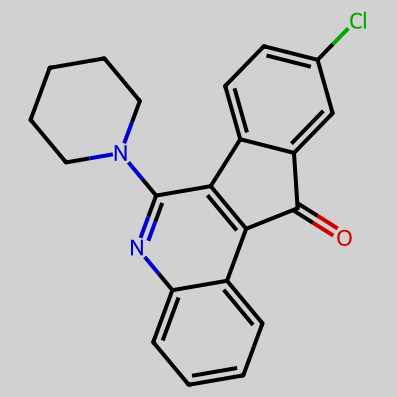 O=C1c2cc(Cl)ccc2-c2c(N3CCCCC3)nc3ccccc3c21